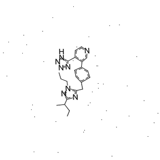 CCCn1nc(C(C)CC)nc1Cc1ccc(-c2cnccc2-c2nnn[nH]2)cc1